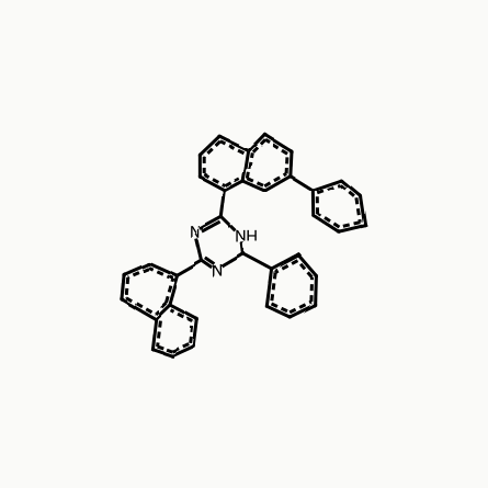 c1ccc(-c2ccc3cccc(C4=NC(c5cccc6ccccc56)=NC(c5ccccc5)N4)c3c2)cc1